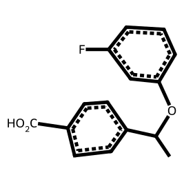 CC(Oc1cccc(F)c1)c1ccc(C(=O)O)cc1